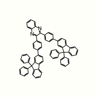 c1ccc(C2(c3ccccc3)c3ccccc3-c3ccc(-c4ccc(-c5nc6ccccc6nc5-c5ccc(-c6ccc7c(c6)C(c6ccccc6)(c6ccccc6)c6ccccc6-7)cc5)cc4)cc32)cc1